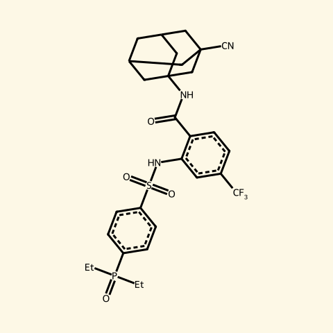 CCP(=O)(CC)c1ccc(S(=O)(=O)Nc2cc(C(F)(F)F)ccc2C(=O)NC23CC4CC(CC(C#N)(C4)C2)C3)cc1